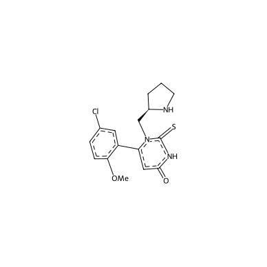 COc1ccc(Cl)cc1-c1cc(=O)[nH]c(=S)n1C[C@H]1CCCN1